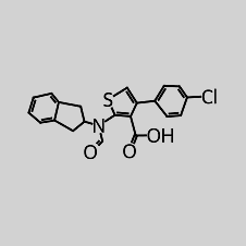 O=CN(c1scc(-c2ccc(Cl)cc2)c1C(=O)O)C1Cc2ccccc2C1